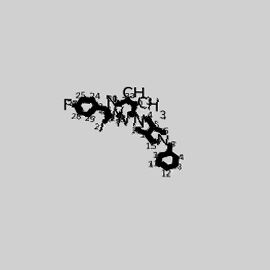 Cc1c(N2CC3CN(Cc4ccccc4)CC3C2)nn2c(I)c(-c3ccc(F)cc3)nc2c1C